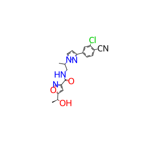 CC(CNC(=O)c1cc([C@H](C)O)on1)n1ccc(-c2ccc(C#N)c(Cl)c2)n1